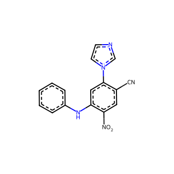 N#Cc1cc([N+](=O)[O-])c(Nc2ccccc2)cc1-n1ccnc1